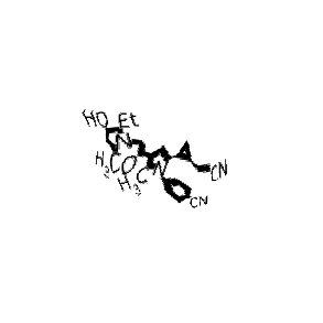 CCC1[C@@H](O)CC(C)N1CC(=O)c1cc([C@@H]2C[C@H]2CCC#N)n(-c2ccc(C#N)cc2)c1C